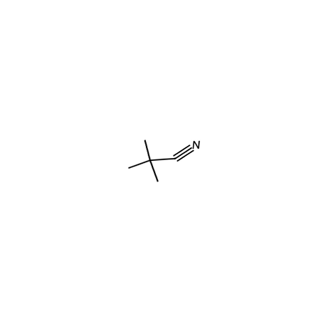 CC(C)(C)C#N